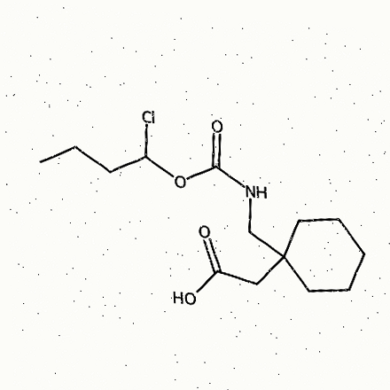 CCCC(Cl)OC(=O)NCC1(CC(=O)O)CCCCC1